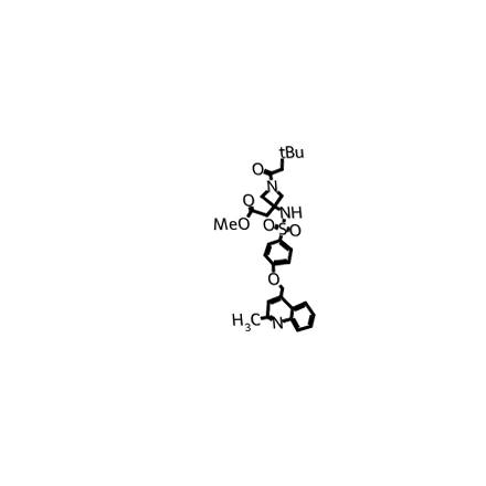 COC(=O)CC1(NS(=O)(=O)c2ccc(OCc3cc(C)nc4ccccc34)cc2)CN(C(=O)CC(C)(C)C)C1